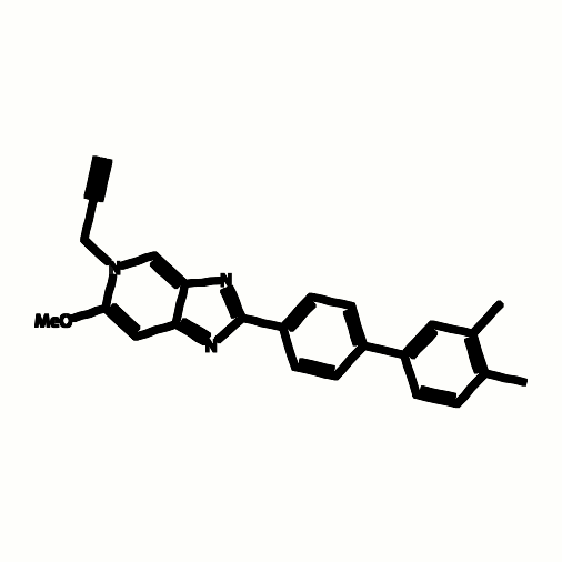 C#CCn1cc2nc(-c3ccc(-c4ccc(C)c(C)c4)cc3)nc-2cc1OC